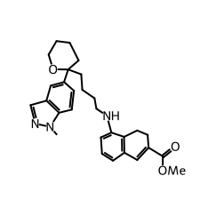 COC(=O)C1=Cc2cccc(NCCCCC3(c4ccc5c(cnn5C)c4)CCCCO3)c2CC1